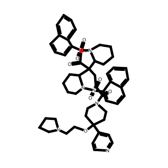 CCCC(=O)C(CCC(=O)N1CCC(OCCN2CCCC2)(c2ccncc2)CC1)(C1CCCCN1S(=O)(=O)c1cccc2ccccc12)C1CCCCN1S(=O)(=O)c1cccc2ccccc12